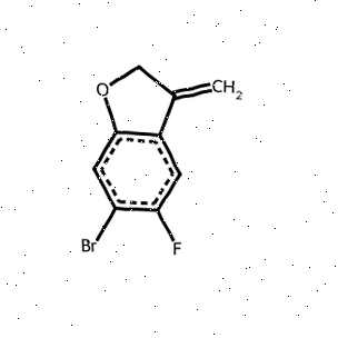 C=C1COc2cc(Br)c(F)cc21